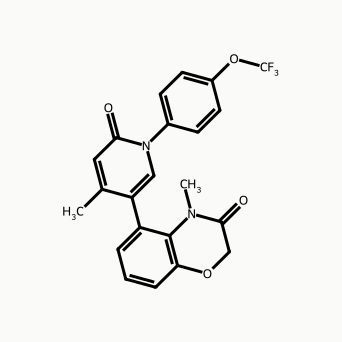 Cc1cc(=O)n(-c2ccc(OC(F)(F)F)cc2)cc1-c1cccc2c1N(C)C(=O)CO2